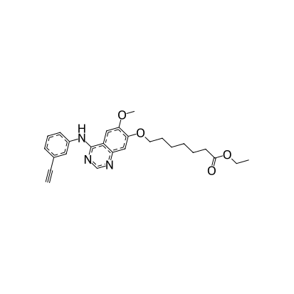 C#Cc1cccc(Nc2ncnc3cc(OCCCCCCC(=O)OCC)c(OC)cc23)c1